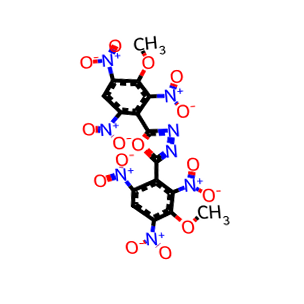 COc1c([N+](=O)[O-])cc([N+](=O)[O-])c(-c2nnc(-c3c([N+](=O)[O-])cc([N+](=O)[O-])c(OC)c3[N+](=O)[O-])o2)c1[N+](=O)[O-]